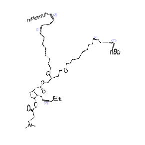 CC/C=C\CC1C(CC(=O)OCC(CCOCCCCCCCC/C=C\C/C=C\CCCC)OCCCCCCC/C=C\C/C=C\CCCCC)CCC1OC(=O)CCN(C)C